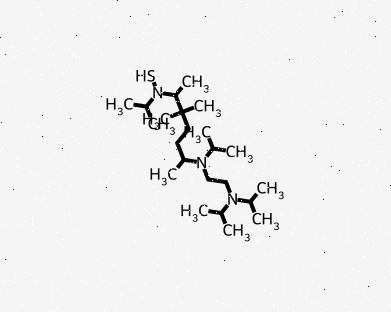 CC(C)N(S)C(C)C(C)(C)CCC(C)N(CCN(C(C)C)C(C)C)C(C)C